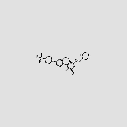 Cc1c2n(c(OC[C@@H]3COCCO3)cc1=O)CCc1cc(N3CC=C(C(F)(F)F)CC3)ccc1-2